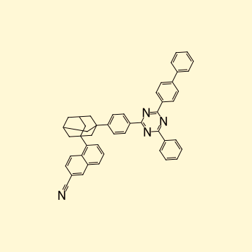 N#Cc1ccc2c(C34CC5CC(CC(c6ccc(-c7nc(-c8ccccc8)nc(-c8ccc(-c9ccccc9)cc8)n7)cc6)(C5)C3)C4)cccc2c1